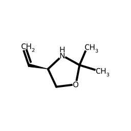 C=C[C@@H]1COC(C)(C)N1